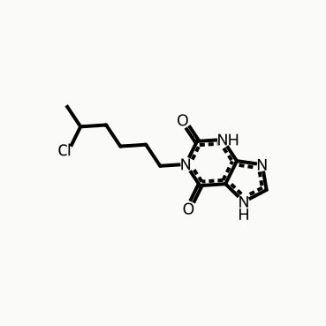 CC(Cl)CCCCn1c(=O)[nH]c2nc[nH]c2c1=O